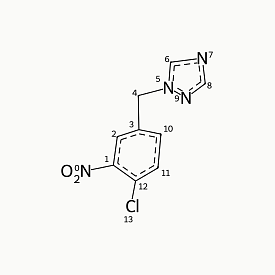 O=[N+]([O-])c1cc(Cn2cncn2)ccc1Cl